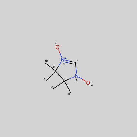 CC1(C)N([O])C=[N+]([O-])C1(C)C